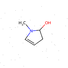 CN1C=CCC1O